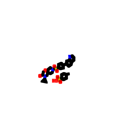 Cc1ccc(S(=O)(=O)O)cc1.O=C1COC2(CCN(S(=O)(=O)c3ccc(-c4ccc5cccnc5c4)cc3)CC2)CN1C1CC1